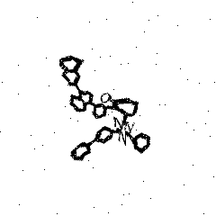 c1ccc(-c2ccc(-c3nc(-c4ccccc4)nc(-c4cccc5oc6c(-c7ccc(-c8ccc9ccccc9c8)c8ccccc78)cccc6c45)n3)cc2)cc1